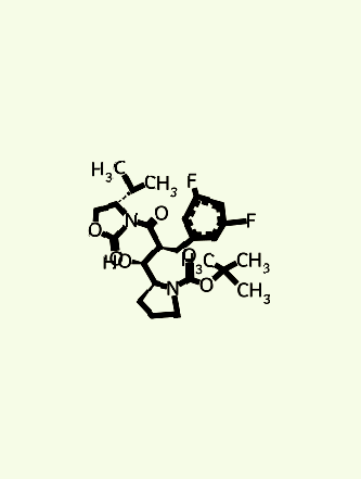 CC(C)[C@H]1COC(=O)N1C(=O)[C@@H](Cc1cc(F)cc(F)c1)[C@H](O)[C@@H]1CCCN1C(=O)OC(C)(C)C